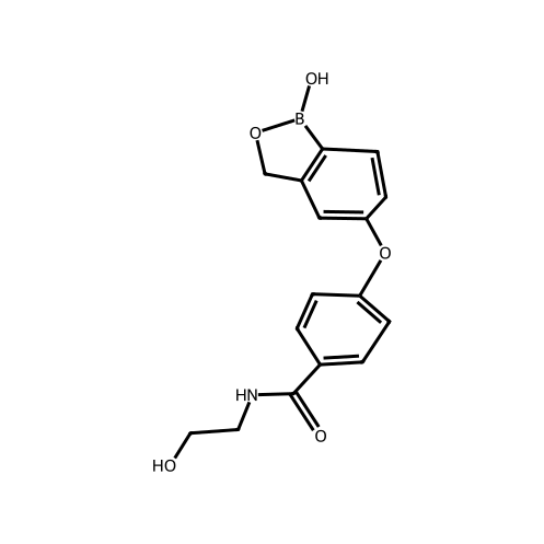 O=C(NCCO)c1ccc(Oc2ccc3c(c2)COB3O)cc1